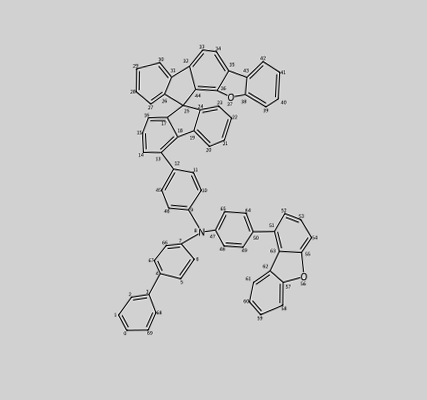 c1ccc(-c2ccc(N(c3ccc(-c4cccc5c4-c4ccccc4C54c5ccccc5-c5ccc6c(oc7ccccc76)c54)cc3)c3ccc(-c4cccc5oc6ccccc6c45)cc3)cc2)cc1